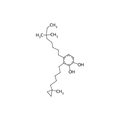 CCC(C)(C)CCCCCc1ccc(O)c(O)c1CCCCCC1(C)CC1